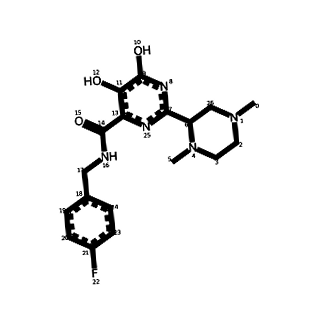 CN1CCN(C)C(c2nc(O)c(O)c(C(=O)NCc3ccc(F)cc3)n2)C1